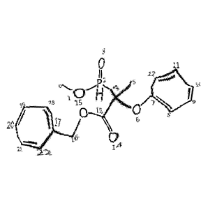 CO[PH](=O)C(C)(Oc1ccccc1)C(=O)OCc1ccccc1